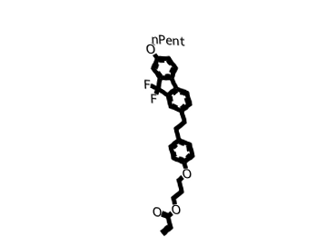 C=CC(=O)OCCCOc1ccc(CCc2ccc3c(c2)C(F)(F)c2cc(OCCCCC)ccc2-3)cc1